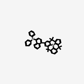 CC1(C)c2cccc3c2N2c4c1cccc4C(C)(C)c1cc(-c4ccc(N(c5ccccc5)c5ccccc5)c5ccccc45)cc(c12)C3(C)C